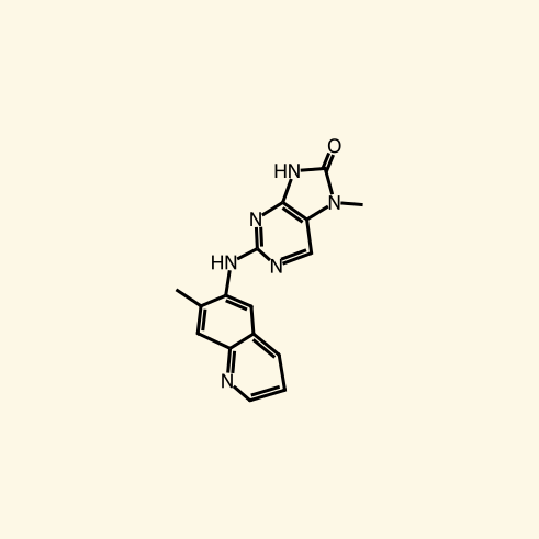 Cc1cc2ncccc2cc1Nc1ncc2c(n1)[nH]c(=O)n2C